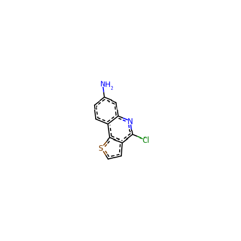 Nc1ccc2c(c1)nc(Cl)c1ccsc12